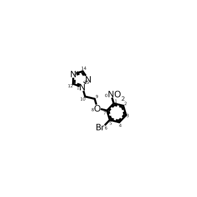 O=[N+]([O-])c1cccc(Br)c1OCCn1cncn1